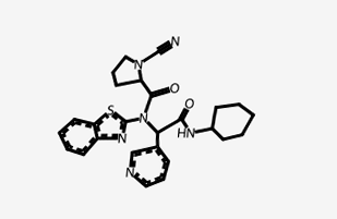 N#CN1CCCC1C(=O)N(c1nc2ccccc2s1)C(C(=O)NC1CCCCC1)c1cccnc1